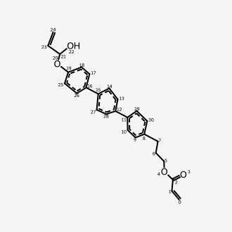 C=CC(=O)OCCCc1ccc(-c2ccc(-c3ccc(OC(O)C=C)cc3)cc2)cc1